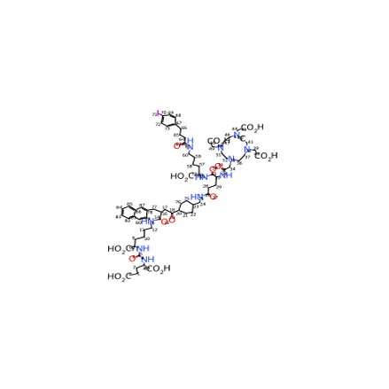 O=C(O)CCC(NC(=O)NC(CCCCNC(=O)C(CC(=O)C1CCC(CNC(=O)CCC(NC(=O)CN2CCN(CC(=O)O)CCN(CC(=O)O)CCN(CC(=O)O)CC2)C(=O)NC(CCCCNC(=O)CCCc2ccc(I)cc2)C(=O)O)CC1)Cc1ccc2ccccc2c1)C(=O)O)C(=O)O